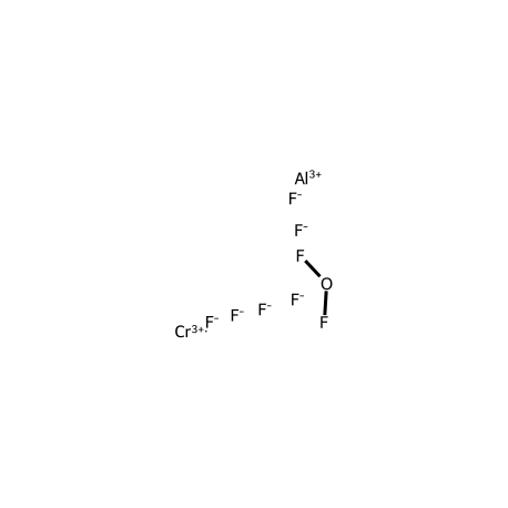 FOF.[Al+3].[Cr+3].[F-].[F-].[F-].[F-].[F-].[F-]